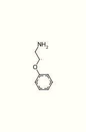 NC[CH]Oc1ccccc1